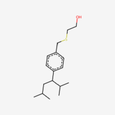 CC(C)CC(c1ccc(CSCCO)cc1)C(C)C